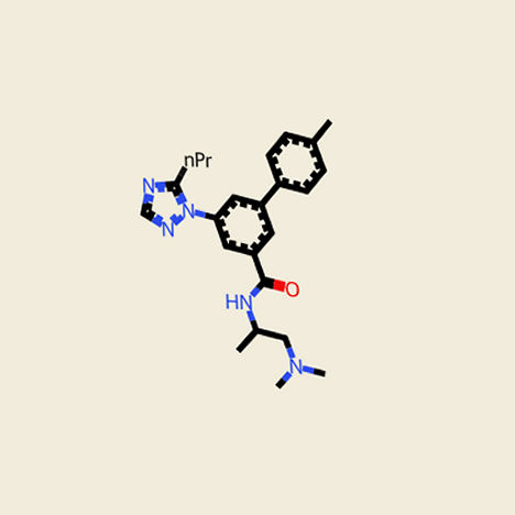 CCCc1ncnn1-c1cc(C(=O)NC(C)CN(C)C)cc(-c2ccc(C)cc2)c1